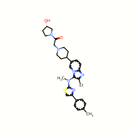 CCc1nc2ccc(C3CCN(CC(=O)N4CC[C@H](O)C4)CC3)cn2c1N(C)c1nc(-c2ccc(C)cc2)cs1